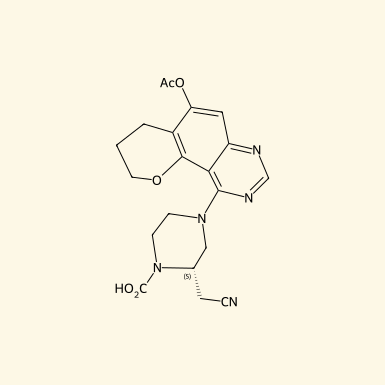 CC(=O)Oc1cc2ncnc(N3CCN(C(=O)O)[C@@H](CC#N)C3)c2c2c1CCCO2